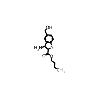 CCCCOC(=O)C1Nc2ccc(CO)cc2C1N